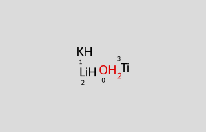 O.[KH].[LiH].[Ti]